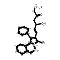 CC(C)c1c(C=CC(O)CC(=O)CC(=O)O)c(-c2ccccc2)c2c3ccccc3cnn12